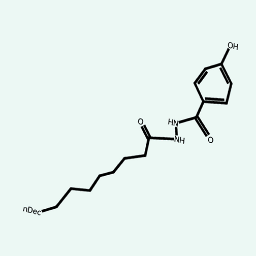 CCCCCCCCCCCCCCCCCC(=O)NNC(=O)c1ccc(O)cc1